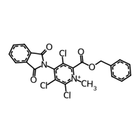 C[n+]1c(Cl)c(Cl)c(N2C(=O)c3ccccc3C2=O)c(Cl)c1C(=O)OCc1ccccc1